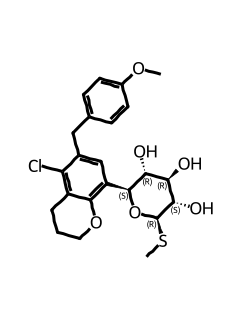 COc1ccc(Cc2cc([C@@H]3O[C@H](SC)[C@@H](O)[C@H](O)[C@H]3O)c3c(c2Cl)CCCO3)cc1